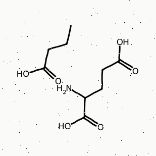 CCCC(=O)O.NC(CCC(=O)O)C(=O)O